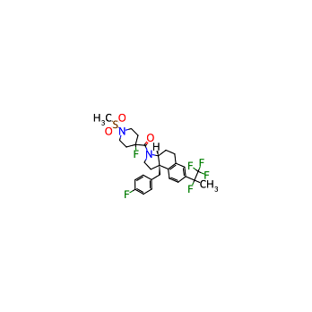 CC(F)(c1ccc2c(c1)CC[C@H]1N(C(=O)C3(F)CCN(S(C)(=O)=O)CC3)CC[C@@]21Cc1ccc(F)cc1)C(F)(F)F